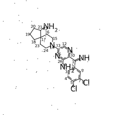 N=C(c1ccc(Cl)c(Cl)c1)c1ncc(N2CCC3(CCC[C@H]3N)CC2)nc1N